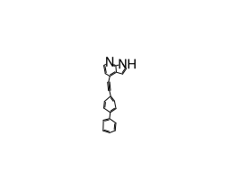 C(#Cc1ccnc2[nH]ccc12)c1ccc(-c2ccccc2)cc1